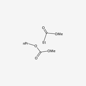 CCC(=O)OC.CCCOC(=O)OC